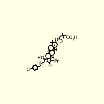 CC(C)C1=C2[C@H]3CC[C@@H]4[C@@]5(C)CC[C@H](OC(=O)CC(C)(C)CC(=O)O)C(C)(C)C5CC[C@@]4(C)[C@]3(C)CC[C@@]2([C@H](O)CNCc2ccc(Cl)cc2)CC1=O